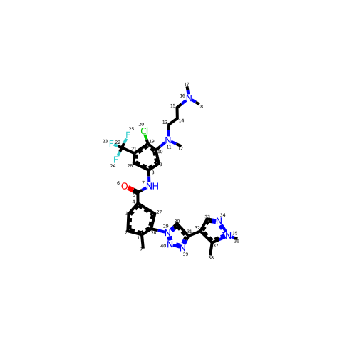 Cc1ccc(C(=O)Nc2cc(N(C)CCCN(C)C)c(Cl)c(C(F)(F)F)c2)cc1-n1cc(-c2cnn(C)c2C)nn1